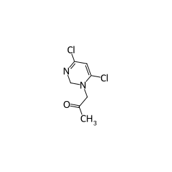 CC(=O)CN1CN=C(Cl)C=C1Cl